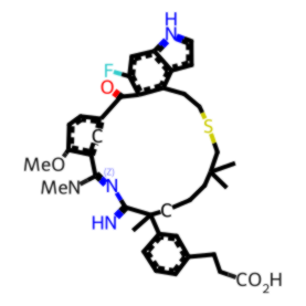 CN/C1=N\C(=N)C(C)(c2cccc(CCC(=O)O)c2)CCCC(C)(C)CSCCc2c(c(F)cc3[nH]ccc23)C(=O)c2ccc(OC)c1c2